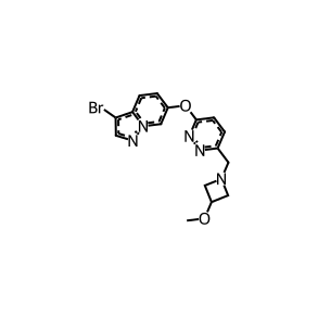 COC1CN(Cc2ccc(Oc3ccc4c(Br)cnn4c3)nn2)C1